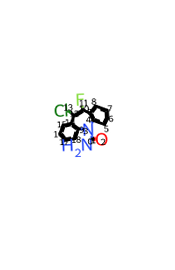 NC(=O)N1c2ccccc2C(F)=C(Cl)c2ccccc21